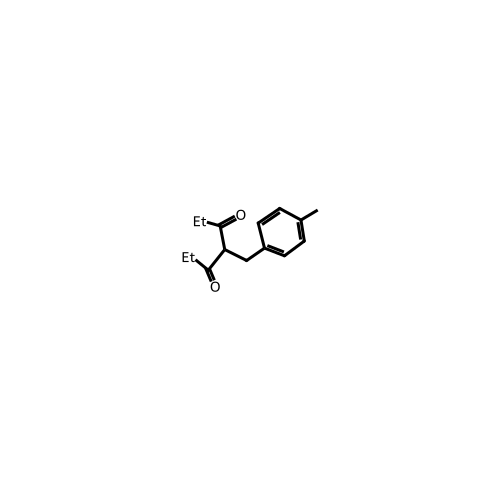 CCC(=O)C(Cc1ccc(C)cc1)C(=O)CC